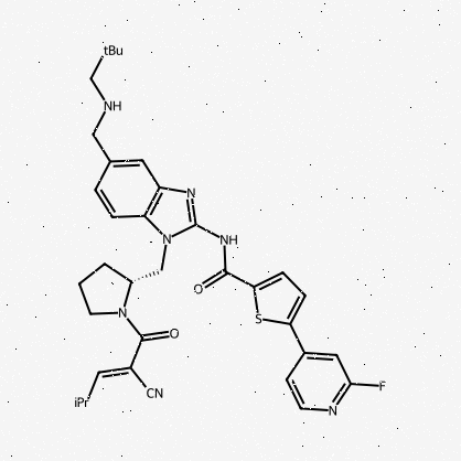 CC(C)C=C(C#N)C(=O)N1CCC[C@@H]1Cn1c(NC(=O)c2ccc(-c3ccnc(F)c3)s2)nc2cc(CNCC(C)(C)C)ccc21